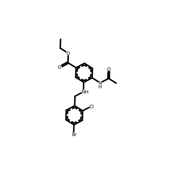 CCOC(=O)c1ccc(NC(C)=O)c(NCc2ccc(Br)cc2Cl)c1